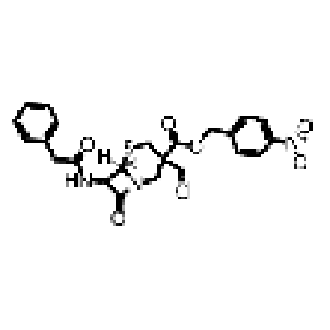 O=C(Cc1ccccc1)NC1C(=O)N2CC(CCl)(C(=O)OCc3ccc([N+](=O)[O-])cc3)CS[C@H]12